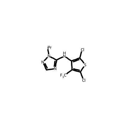 CC(C)n1ncnc1Nc1c(Cl)sc(Cl)c1C(F)(F)F